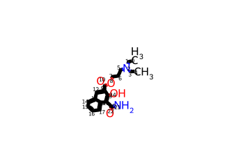 CCN(CC)CCCOC(=O)c1cc2ccccc2c(C(N)=O)c1O